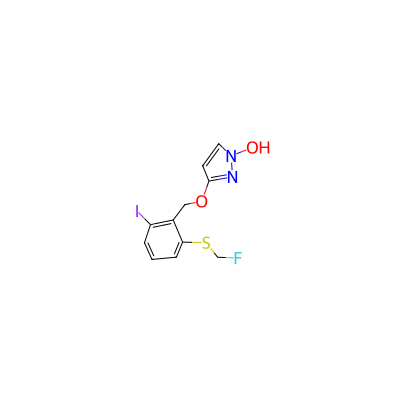 On1ccc(OCc2c(I)cccc2SCF)n1